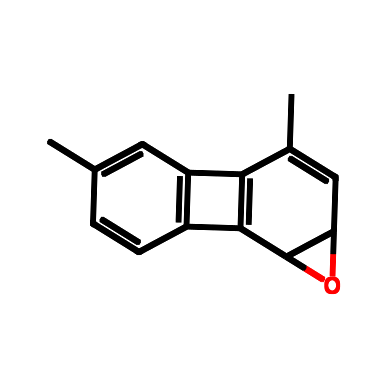 CC1=CC2OC2C2=C1c1cc(C)ccc12